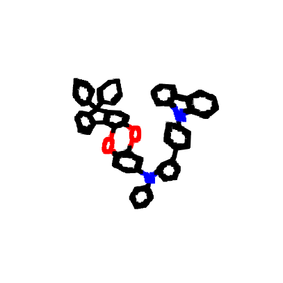 C1=CC(C2(c3ccccc3)c3ccccc3-c3c2ccc2c3Oc3ccc(N(c4ccccc4)c4cccc(-c5ccc(-n6c7ccccc7c7ccccc76)cc5)c4)cc3O2)=CCC1